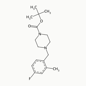 Cc1cc(F)ccc1CN1CCN(C(=O)OC(C)(C)C)CC1